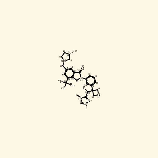 Cn1cnnc1[C@@H](F)C1(c2cccc(N3Cc4c(cc(CN5CC[C@H](F)C5)cc4C(F)(F)F)C3=O)c2)COC1